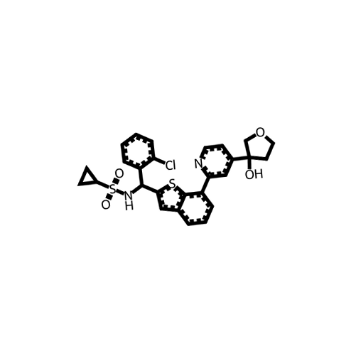 O=S(=O)(NC(c1cc2cccc(-c3cc(C4(O)CCOC4)ccn3)c2s1)c1ccccc1Cl)C1CC1